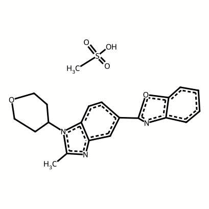 CS(=O)(=O)O.Cc1nc2cc(-c3nc4ccccc4o3)ccc2n1C1CCOCC1